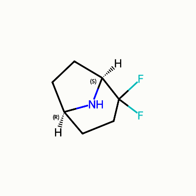 FC1(F)CC[C@H]2CC[C@@H]1N2